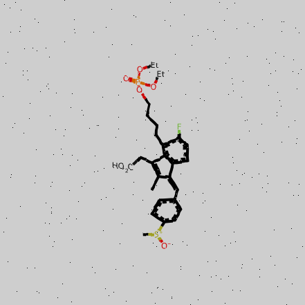 CCOP(=O)(OCC)OCCCCc1c(F)ccc2c1C(CC(=O)O)=C(C)C2=Cc1ccc([S+](C)[O-])cc1